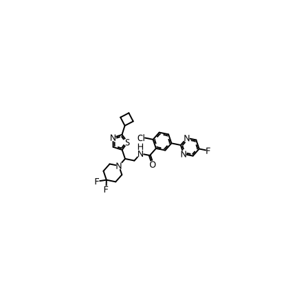 O=C(NCC(c1cnc(C2CCC2)s1)N1CCC(F)(F)CC1)c1cc(-c2ncc(F)cn2)ccc1Cl